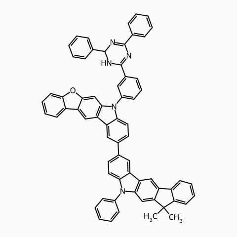 CC1(C)c2ccccc2-c2cc3c4cc(-c5ccc6c(c5)c5cc7c(cc5n6-c5cccc(C6=NC(c8ccccc8)=NC(c8ccccc8)N6)c5)oc5ccccc57)ccc4n(-c4ccccc4)c3cc21